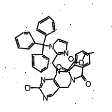 CCOC(=O)CN(Cc1nccn1C(c1ccccc1)(c1ccccc1)c1ccccc1)c1nc(Cl)ncc1CN1C(=O)c2ccccc2C1=O